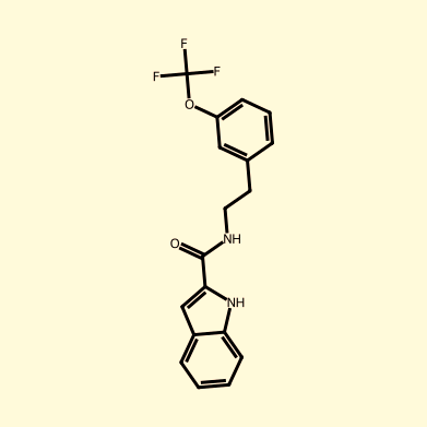 O=C(NCCc1cccc(OC(F)(F)F)c1)c1cc2ccccc2[nH]1